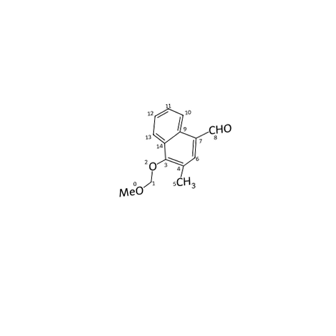 COCOc1c(C)cc(C=O)c2ccccc12